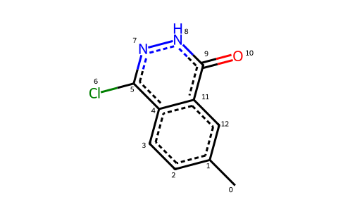 Cc1ccc2c(Cl)n[nH]c(=O)c2c1